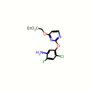 CCOC(=O)COc1ccnc(Oc2cc(N)c(F)cc2Cl)n1